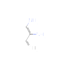 C=C/C(N)=C/N